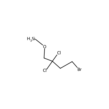 [SiH3]OCC(Cl)(Cl)CCBr